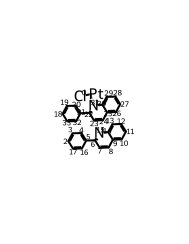 [Cl][Pt].c1ccc(-c2ccc3ccccc3n2)cc1.c1ccc(-c2ccc3ccccc3n2)cc1